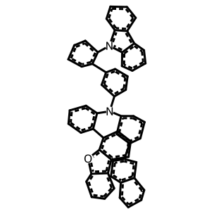 c1cc(-c2ccc3ccccc3c2)cc(N(c2cccc(-c3ccccc3-n3c4ccccc4c4ccccc43)c2)c2ccccc2-c2cccc3c2oc2ccccc23)c1